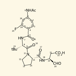 CC(=O)Nc1ccc(C(=O)N[C@H](C(=O)N2CCC[C@H]2C(=O)N[C@H](C=O)CC(=O)O)C(C)(C)C)c(F)c1